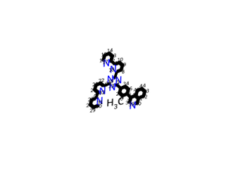 Cc1cc(-c2nc(-c3cccc(-c4ccccn4)n3)nc(-c3cccc(-c4ccccn4)n3)n2)ccc1-c1cncc2ccccc12